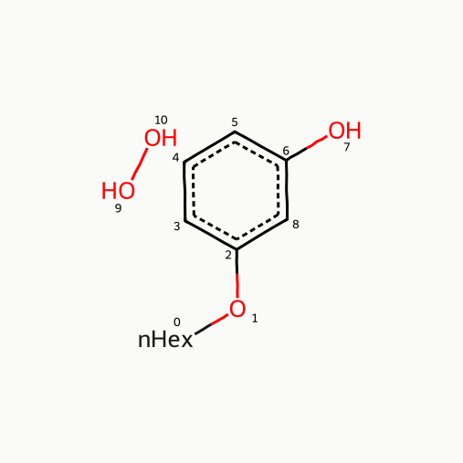 CCCCCCOc1cccc(O)c1.OO